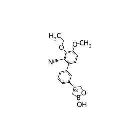 CCOc1c(OC)ccc(-c2cccc([C@H]3COB(O)C3)c2)c1C#N